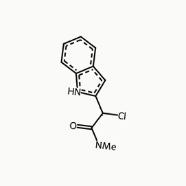 CNC(=O)[C](Cl)c1cc2ccccc2[nH]1